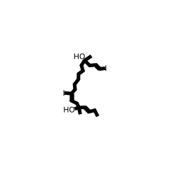 CC/C=C/C(C)(O)C/C=C(/I)CCCCCCC(C)(O)C/C=C/I